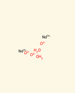 O.O.[Nd+3].[Nd+3].[O-2].[O-2].[O-2]